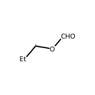 CC[CH]OC=O